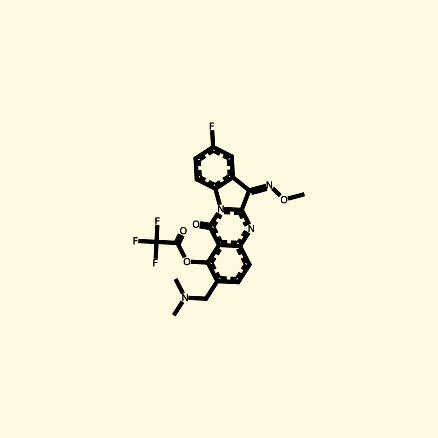 CO/N=C1/c2cc(F)ccc2-n2c1nc1ccc(CN(C)C)c(OC(=O)C(F)(F)F)c1c2=O